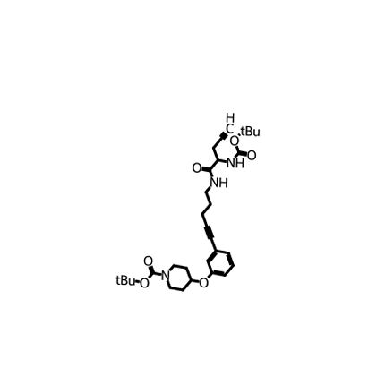 C#CCC(NC(=O)OC(C)(C)C)C(=O)NCCCC#Cc1cccc(OC2CCN(C(=O)OC(C)(C)C)CC2)c1